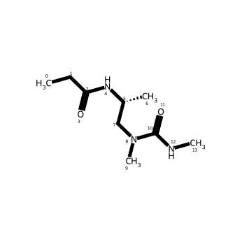 CCC(=O)N[C@H](C)CN(C)C(=O)NC